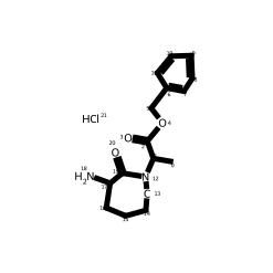 CC(C(=O)OCc1ccccc1)N1CCCCC(N)C1=O.Cl